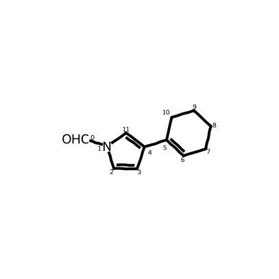 O=Cn1ccc(C2=CCCCC2)c1